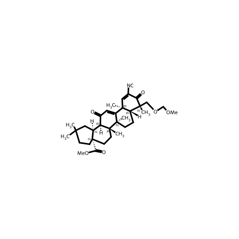 [C-]#[N+]C1=C[C@]2(C)C3=CC(=O)[C@@H]4[C@@H]5CC(C)(C)CC[C@]5(C(=O)OC)CC[C@@]4(C)[C@]3(C)CC[C@H]2[C@@](C)(COCOC)C1=O